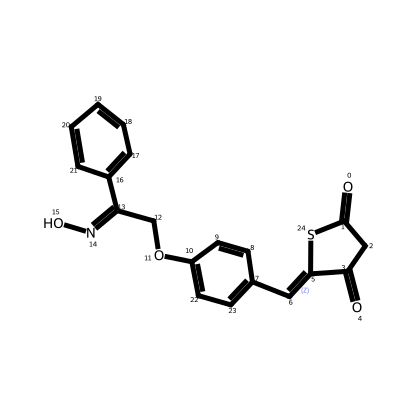 O=C1CC(=O)/C(=C/c2ccc(OCC(=NO)c3ccccc3)cc2)S1